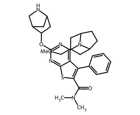 COCC1CC2CCC(C1)N2c1nc(OC2CC3CC2CN3)nc2sc(C(=O)N(C)C)c(-c3ccccc3)c12